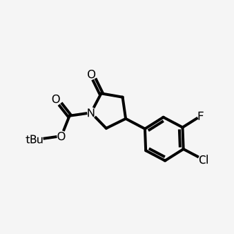 CC(C)(C)OC(=O)N1CC(c2ccc(Cl)c(F)c2)CC1=O